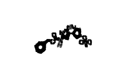 CC(C)(C)n1nc(NC(=O)OCc2ccccc2)cc1[C@H]1CC[C@H](OS(C)(=O)=O)C1